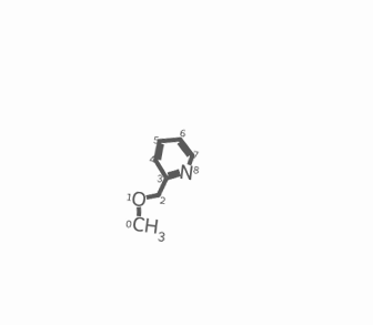 COCc1ccc[c]n1